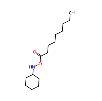 CCCCCCCCC(=O)ONC1CCCCC1